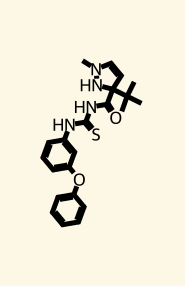 CN1C=CC(C(=O)NC(=S)Nc2cccc(Oc3ccccc3)c2)(C(C)(C)C)N1